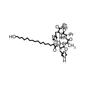 CC(C)NC(=O)[C@H](Cc1c[nH]cn1)NC(=O)[C@@H](NC(=O)[C@H](C)NC(=O)[C@H](Cc1c[nH]cn1)NC(=O)CCCCCCCCCCCCCCCO)C(C)C